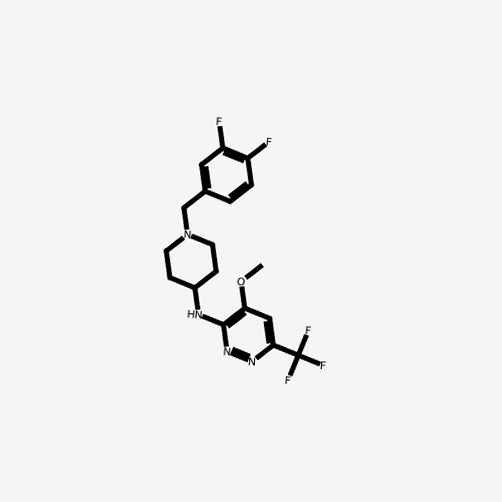 COc1cc(C(F)(F)F)nnc1NC1CCN(Cc2ccc(F)c(F)c2)CC1